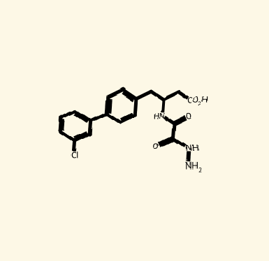 NNC(=O)C(=O)NC(CC(=O)O)Cc1ccc(-c2cccc(Cl)c2)cc1